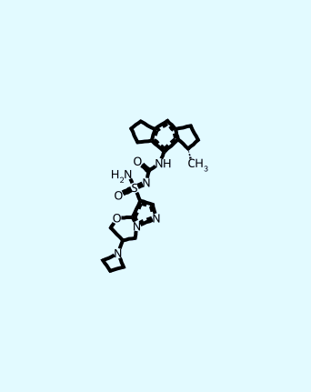 C[C@H]1CCc2cc3c(c(NC(=O)N=S(N)(=O)c4cnn5c4OCC(N4CCC4)C5)c21)CCC3